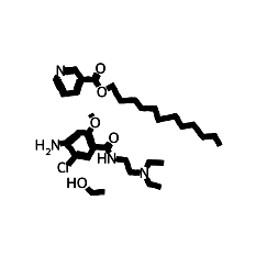 CCCCCCCCCCCCOC(=O)c1cccnc1.CCN(CC)CCNC(=O)c1cc(Cl)c(N)cc1OC.CCO